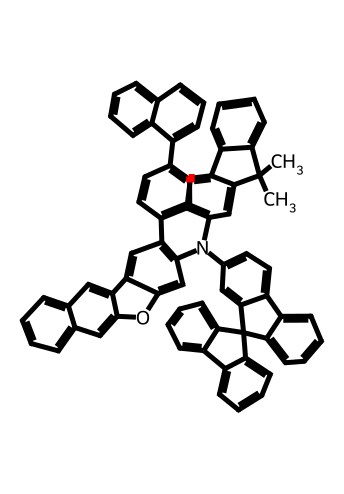 CC1(C)c2ccccc2-c2ccc(N(c3ccc4c(c3)C3(c5ccccc5-c5ccccc53)c3ccccc3-4)c3cc4oc5cc6ccccc6cc5c4cc3-c3ccc(-c4cccc5ccccc45)cc3)cc21